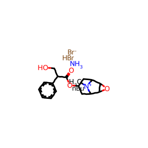 Br.CCCC[N+]1(C)C2CC(OC(=O)C(CO)c3ccccc3)CC1C1OC12.N.[Br-]